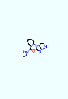 CCNC(=O)c1ccccc1-n1cnc2cnccc21